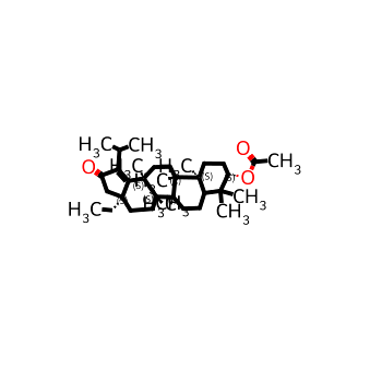 CC[C@@]12CC[C@@]3(C)[C@]4(C)CCC5C(C)(C)[C@@H](OC(C)=O)CC[C@]5(C)[C@@]4(C)CC[C@]3(C)C1=C(C(C)C)C(=O)C2